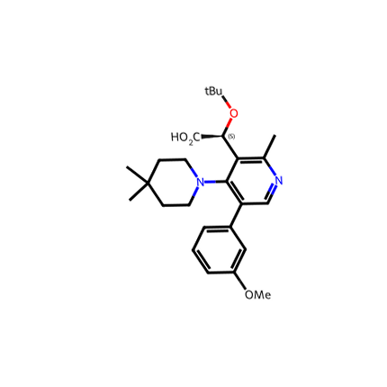 COc1cccc(-c2cnc(C)c([C@H](OC(C)(C)C)C(=O)O)c2N2CCC(C)(C)CC2)c1